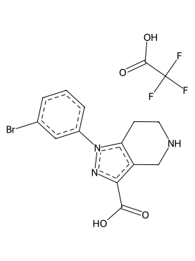 O=C(O)C(F)(F)F.O=C(O)c1nn(-c2cccc(Br)c2)c2c1CNCC2